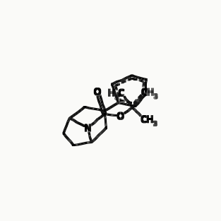 CC(C)(C)OC(=O)N1C2CCC1CC(c1ccccc1)C2